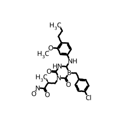 CCCc1ccc(NC2NC(=O)N(C[C@H](C)C(=O)N=O)C(=O)B2Cc2ccc(Cl)cc2)cc1OC